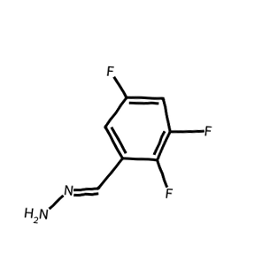 NN=Cc1cc(F)cc(F)c1F